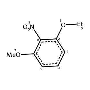 CCOc1cccc(OC)c1[N+](=O)[O-]